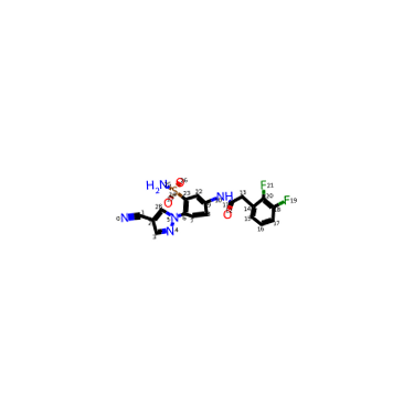 N#Cc1cnn(-c2ccc(NC(=O)Cc3cccc(F)c3F)cc2S(N)(=O)=O)c1